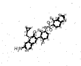 Nc1cc2c(cn1)cc(-c1c(F)ccc(NS(=O)(=O)c3ccc4ncsc4c3F)c1F)c(=O)n2CC1CC1